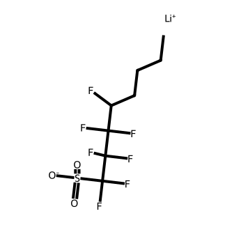 CCCCC(F)C(F)(F)C(F)(F)C(F)(F)S(=O)(=O)[O-].[Li+]